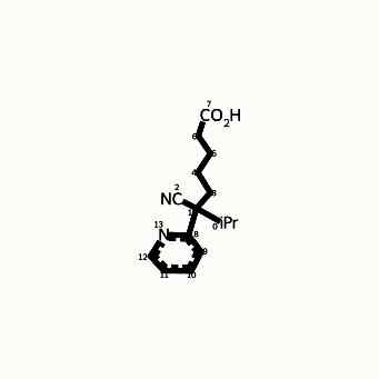 CC(C)C(C#N)(CCCCC(=O)O)c1ccccn1